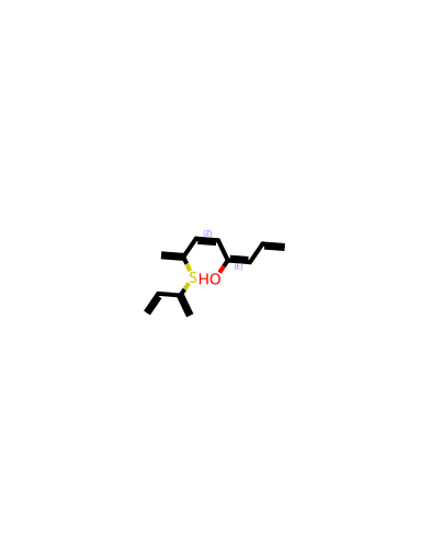 C=C/C=C(O)\C=C/C(=C)SC(=C)C=C